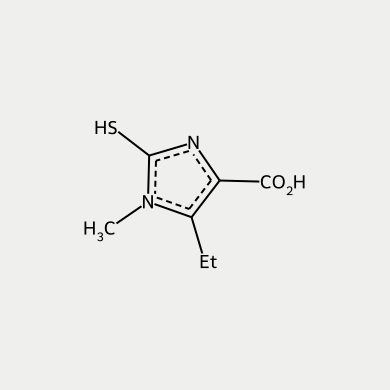 CCc1c(C(=O)O)nc(S)n1C